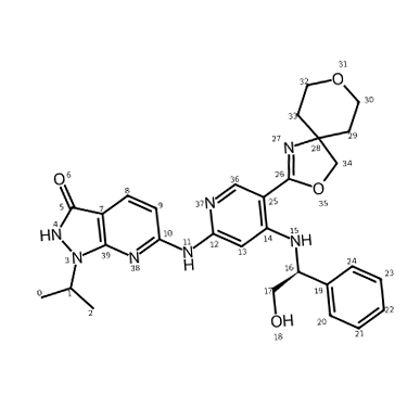 CC(C)n1[nH]c(=O)c2ccc(Nc3cc(N[C@H](CO)c4ccccc4)c(C4=NC5(CCOCC5)CO4)cn3)nc21